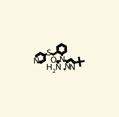 Cn1nc(C(C)(C)C)cc1N(C(N)=O)c1ccccc1CSc1ccncc1